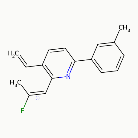 C=Cc1ccc(-c2cccc(C)c2)nc1/C=C(\C)F